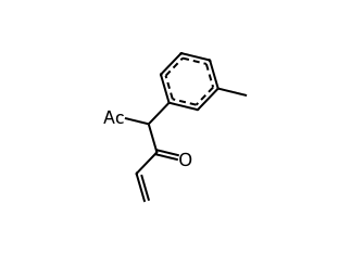 C=CC(=O)C(C(C)=O)c1cccc(C)c1